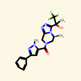 C[C@H]1CN(C(=O)c2cc(-c3ccccc3)nn2C)Cc2nnc(C(C)(O)C(F)(F)F)n21